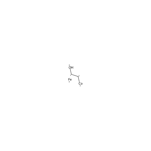 OC[CH2][Co].[Fe]